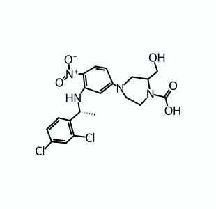 C[C@@H](Nc1cc(N2CCN(C(=O)O)C(CO)C2)ccc1[N+](=O)[O-])c1ccc(Cl)cc1Cl